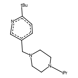 CC(C)N1CCN(Cc2ccc(C(C)(C)C)nc2)CC1